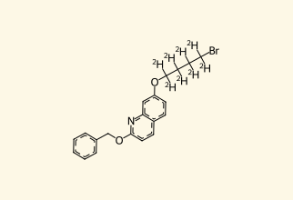 [2H]C([2H])(Br)C([2H])([2H])C([2H])([2H])C([2H])([2H])Oc1ccc2ccc(OCc3ccccc3)nc2c1